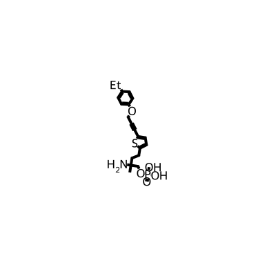 CCc1ccc(OCC#Cc2ccc(CCC(C)(N)COP(=O)(O)O)s2)cc1